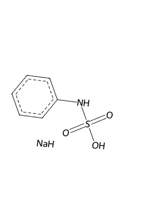 O=S(=O)(O)Nc1ccccc1.[NaH]